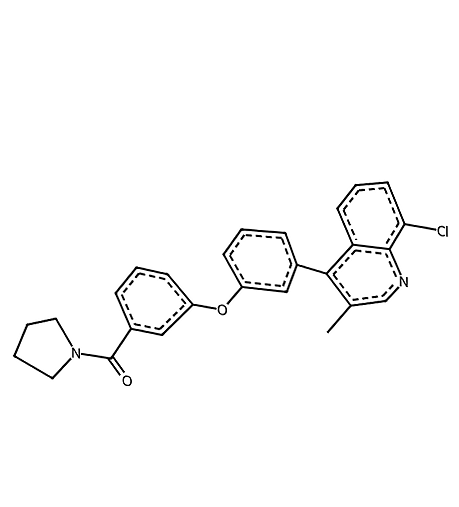 Cc1cnc2c(Cl)cccc2c1-c1cccc(Oc2cccc(C(=O)N3CCCC3)c2)c1